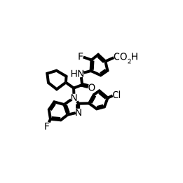 O=C(O)c1ccc(NC(=O)C(C2CCCCC2)n2c(-c3ccc(Cl)cc3)nc3cc(F)ccc32)c(F)c1